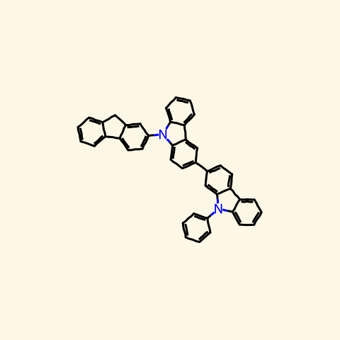 c1ccc(-n2c3ccccc3c3ccc(-c4ccc5c(c4)c4ccccc4n5-c4ccc5c(c4)Cc4ccccc4-5)cc32)cc1